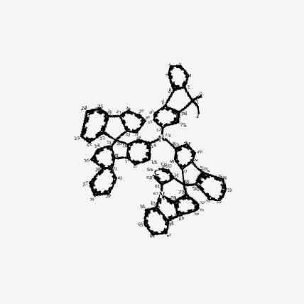 CC1(C)c2ccccc2-c2ccc(N(c3ccc4c(c3)C3(c5ccccc5-c5ccccc53)c3ccc5ccccc5c3-4)c3ccc4c(c3)C3(c5ccccc5-4)c4ccccc4-n4c5ccccc5c5cccc3c54)cc21